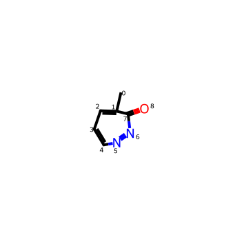 Cc1cccnnc1=O